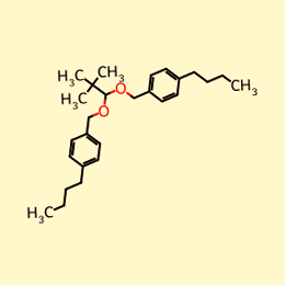 CCCCc1ccc(COC(OCc2ccc(CCCC)cc2)C(C)(C)C)cc1